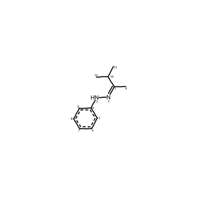 CC(=NNc1ccccc1)C(C)C